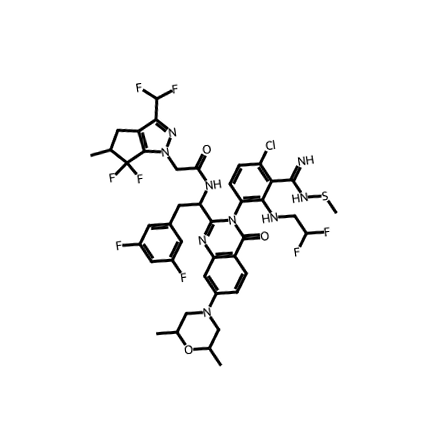 CSNC(=N)c1c(Cl)ccc(-n2c(C(Cc3cc(F)cc(F)c3)NC(=O)Cn3nc(C(F)F)c4c3C(F)(F)C(C)C4)nc3cc(N4CC(C)OC(C)C4)ccc3c2=O)c1NCC(F)F